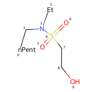 CCCCCCN(CC)S(=O)(=O)CCO